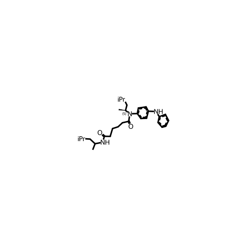 CC(C)CC(C)NC(=O)CCCCC(=O)N(c1ccc(Nc2ccccc2)cc1)[C@@H](C)CC(C)C